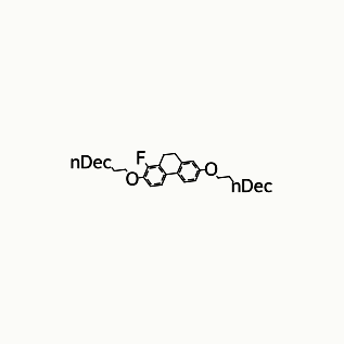 CCCCCCCCCCCCOc1ccc2c(c1)CCc1c-2ccc(OCCCCCCCCCCCC)c1F